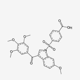 COc1ccc2c(C(=O)c3cc(OC)c(OC)c(OC)c3)cn(S(=O)(=O)c3ccc(C(=O)O)cc3)c2c1